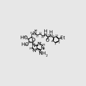 CCc1cccc(NC(=O)NCCCN(C)C[C@H]2O[C@@H](n3cnc4c(N)ncnc43)[C@H](O)[C@@H]2O)c1